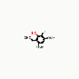 COc1cc(OC)c(CC=O)c(O)c1C